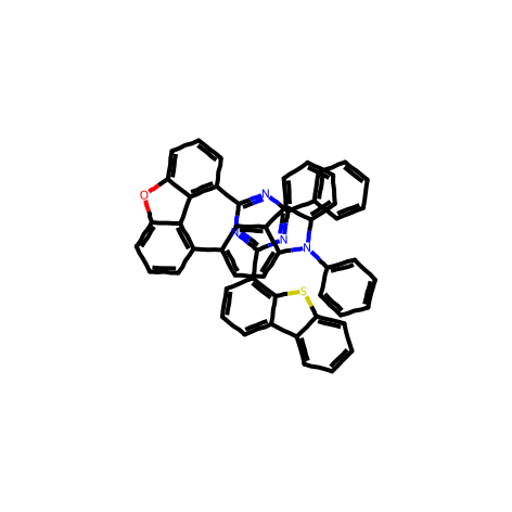 c1ccc(-c2nc(-c3cccc4c3sc3ccccc34)nc(-c3cccc4oc5cccc(-c6ccc7c(c6)c6ccccc6n7-c6ccccc6)c5c34)n2)cc1